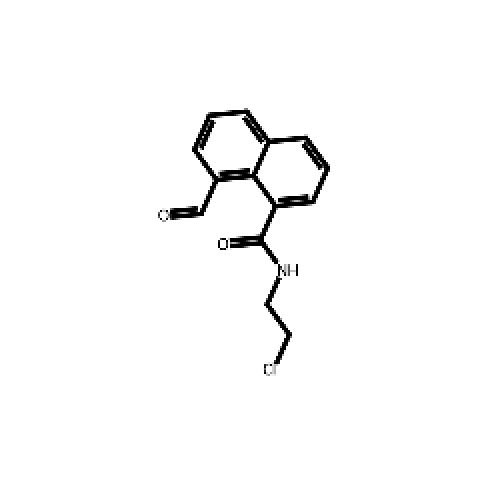 O=Cc1cccc2cccc(C(=O)NCCCl)c12